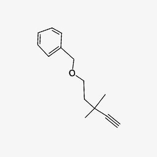 C#CC(C)(C)CCOCc1ccccc1